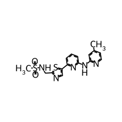 Cc1ccnc(Nc2cccc(-c3cnc(CNS(C)(=O)=O)s3)n2)c1